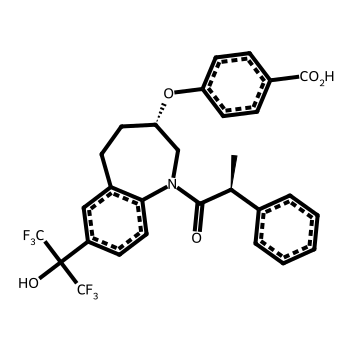 C[C@H](C(=O)N1C[C@@H](Oc2ccc(C(=O)O)cc2)CCc2cc(C(O)(C(F)(F)F)C(F)(F)F)ccc21)c1ccccc1